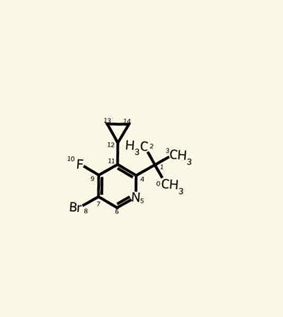 CC(C)(C)c1ncc(Br)c(F)c1C1CC1